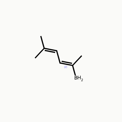 B/C(C)=C/C=C(C)C